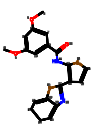 COc1cc(OC)cc(C(=O)Nc2sccc2-c2nc3c(s2)=CCCC=3)c1